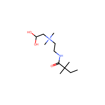 CCC(C)(C)C(=O)NCC[N+](C)(C)CC(O)O